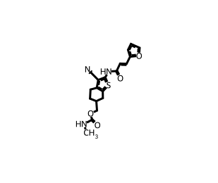 CNC(=O)OCC1CCc2c(sc(NC(=O)C=Cc3ccco3)c2C#N)C1